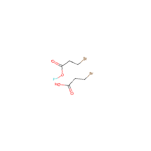 O=C(CCBr)OF.O=C(O)CCBr